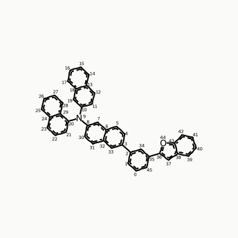 c1cc(-c2ccc3cc(N(c4ccc5ccccc5c4)c4cccc5ccccc45)ccc3c2)cc(-c2cc3ccccc3o2)c1